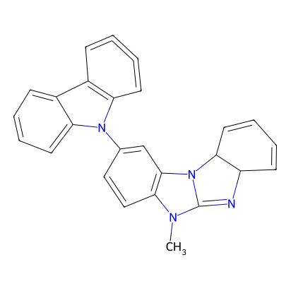 CN1C2=NC3C=CC=CC3N2c2cc(-n3c4c(c5ccccc53)C=C=C=C4)ccc21